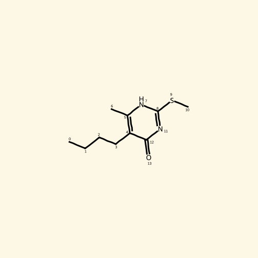 CCCCc1c(C)[nH]c(SC)nc1=O